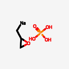 O=P(O)(O)O.[Na][CH2]C1CO1